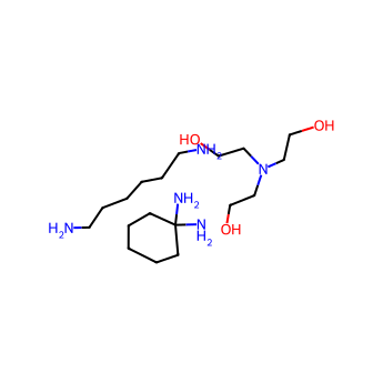 NC1(N)CCCCC1.NCCCCCCN.OCCN(CCO)CCO